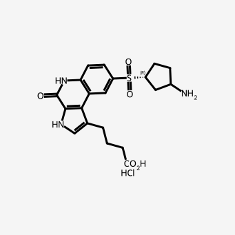 Cl.NC1CC[C@@H](S(=O)(=O)c2ccc3[nH]c(=O)c4[nH]cc(CCCC(=O)O)c4c3c2)C1